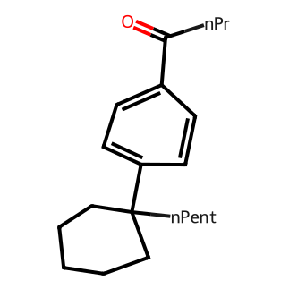 CCCCCC1(c2ccc(C(=O)CCC)cc2)CCCCC1